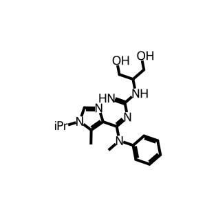 Cc1c(/C(=N\C(=N)NC(CO)CO)N(C)c2ccccc2)ncn1C(C)C